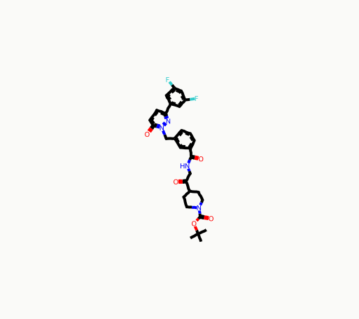 CC(C)(C)OC(=O)N1CCC(C(=O)CNC(=O)c2cccc(Cn3nc(-c4cc(F)cc(F)c4)ccc3=O)c2)CC1